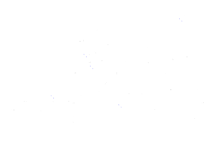 COc1nc2c(F)c(-c3cc(O)cc4ccccc34)c(CCC#N)cc2c2c1c(C(=O)NCCO)cn2C1C2CNC1C2